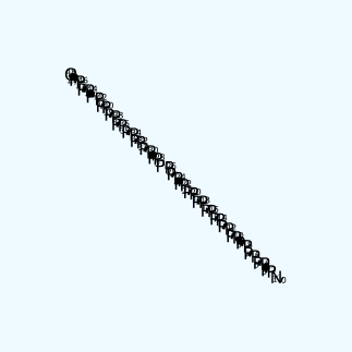 CN=PP=PP=PP=PP=PP=PP=PP=PP=PP=PP=PP=PP=PP=PP=PP=PP=PP=PP=PP=PP=PP=PP=PP=O